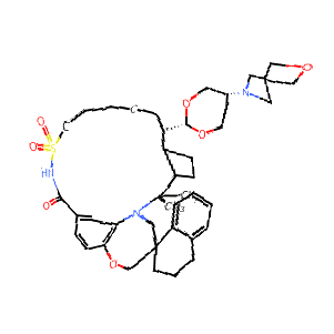 CC1(C)C2CCC2C([C@H]2OC[C@@H](N3CC4(COC4)C3)CO2)CCCCCS(=O)(=O)NC(=O)c2ccc3c(c2)N1CC1(CCCc2ccccc21)CO3